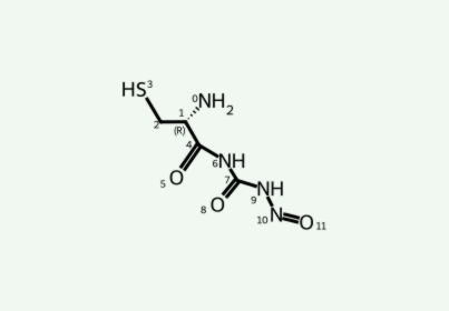 N[C@@H](CS)C(=O)NC(=O)NN=O